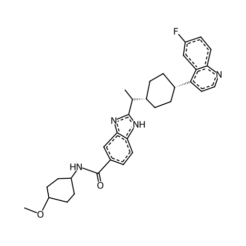 COC1CCC(NC(=O)c2ccc3[nH]c(C(C)[C@H]4CC[C@@H](c5ccnc6ccc(F)cc65)CC4)nc3c2)CC1